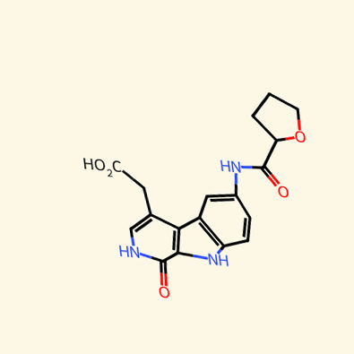 O=C(O)Cc1c[nH]c(=O)c2[nH]c3ccc(NC(=O)C4CCCO4)cc3c12